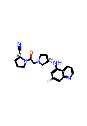 N#C[C@@H]1CCCN1C(=O)CN1CC[C@H](Nc2cc(F)cc3ncccc23)C1